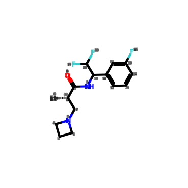 CC[C@@H](CN1CCC1)C(=O)NC(c1cccc(F)c1)C(F)F